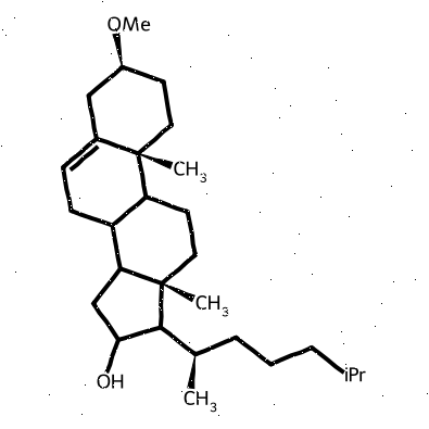 CO[C@H]1CC[C@@]2(C)C(=CCC3C4CC(O)C([C@H](C)CCCC(C)C)[C@@]4(C)CCC32)C1